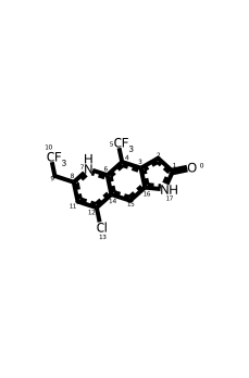 O=c1cc2c(C(F)(F)F)c3[nH]c(CC(F)(F)F)cc(Cl)c3cc2[nH]1